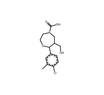 Cc1cc(C2OCCN(C(=O)O)CC2CO)ccc1Cl